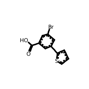 O=C(O)c1cc(Br)cc(-c2cccs2)c1